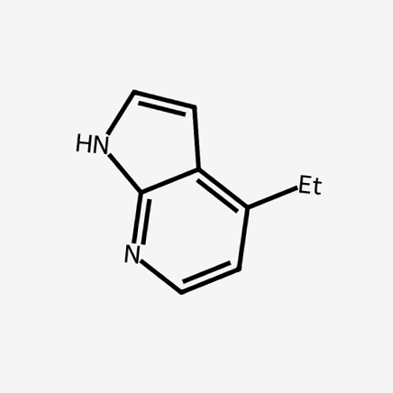 CCc1ccnc2[nH]ccc12